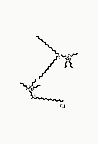 CCCCCCCCCCCCCC[N+](C)(C)CCC[Si](OCCCC)(OCCCC)OCCCC.CCCCCCCCCCCCCC[N+](C)(CCCCCCCCCCCCCC)CCC[Si](OCCCC)(OCCCC)OCCCC.[Cl-].[Cl-]